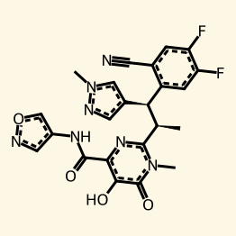 C[C@@H](c1nc(C(=O)Nc2cnoc2)c(O)c(=O)n1C)[C@@H](c1cnn(C)c1)c1cc(F)c(F)cc1C#N